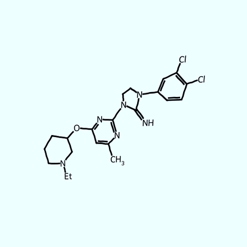 CCN1CCCC(Oc2cc(C)nc(N3CCN(c4ccc(Cl)c(Cl)c4)C3=N)n2)C1